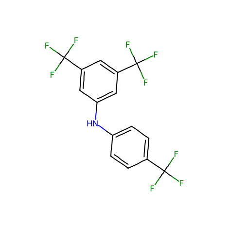 FC(F)(F)c1ccc(Nc2cc(C(F)(F)F)cc(C(F)(F)F)c2)cc1